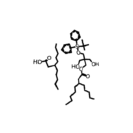 CCCCCC(CCCCC)CC(=O)O.CCCCCC(CCCCC)CC(=O)OCC(CO)(CO)CO[Si](c1ccccc1)(c1ccccc1)C(C)(C)C